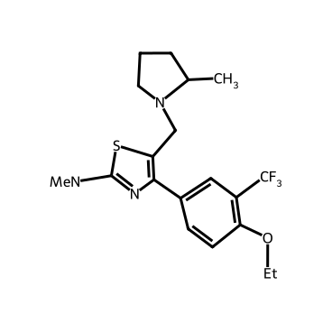 CCOc1ccc(-c2nc(NC)sc2CN2CCCC2C)cc1C(F)(F)F